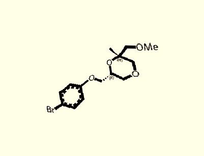 COC[C@]1(C)COC[C@H](COc2ccc(Br)cc2)O1